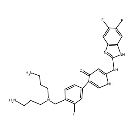 NCCCN(CCCN)Cc1ccc(-c2c[nH]c(Nc3nc4cc(F)c(F)cc4[nH]3)cc2=O)cc1F